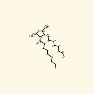 CCCCCCCCN(C)[C@H]1[C@H](OCCCCCCC)[C@H](O)C[C@@H]1O